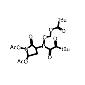 CC(=O)OC1CC(P(OCOC(=O)C(C)(C)C)C(=O)C(=O)C(C)(C)C)C(=O)N1OC(C)=O